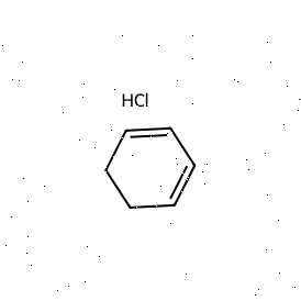 C1=CCCC=C1.Cl